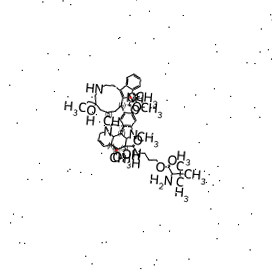 CCC1(O)CNCCc2c([nH]c3ccccc23)[C@@](C(=O)OC)(c2cc3c(cc2OC)N(C)C2[C@]34CCN3CC=C[C@](CC)(C34)[C@@H](O)[C@]2(O)C(=O)NCCCOC(=O)C(N)C(C)(C)C)C[C@H](C)C1